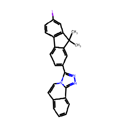 CC1(C)c2cc(I)ccc2-c2ccc(-c3nnc4c5ccccc5ccn34)cc21